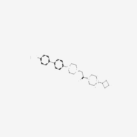 O=C(CN1CCN(c2ccc(-c3ccc(C(F)(F)F)cc3)cc2)CC1)N1CCN(C2CCC2)CC1